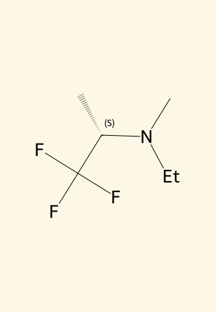 CCN(C)[C@@H](C)C(F)(F)F